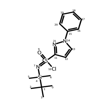 CC(C)(C)[Si](C)(C)N=S(=O)(Cl)c1ccn(-c2ccccc2)n1